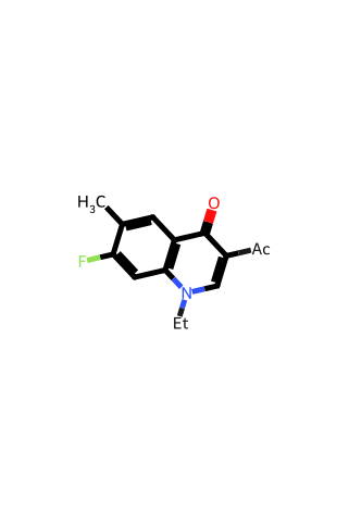 CCn1cc(C(C)=O)c(=O)c2cc(C)c(F)cc21